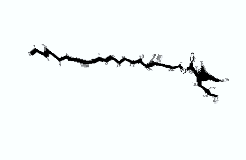 CCCCCCCCC=CCCCCCCCCOC(=O)C(CC)CCCC